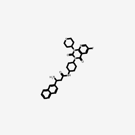 NC(CC(=O)NC1CCC(n2c(=O)c3cc(F)cnc3n(C3CCSCC3)c2=O)CC1)c1ccc2ccccc2c1